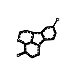 O=c1ccn2c3ccc(Cl)cc3c3ccnc1c32